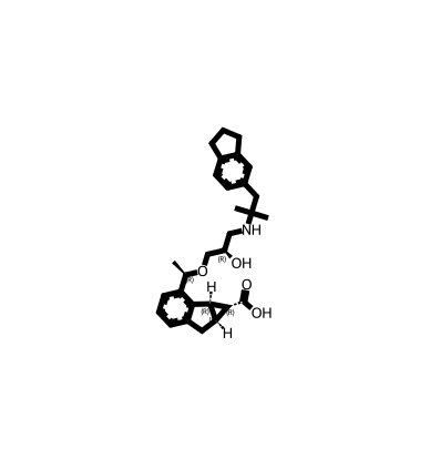 C[C@@H](OC[C@H](O)CNC(C)(C)Cc1ccc2c(c1)CCC2)c1cccc2c1[C@@H]1[C@H](C2)[C@H]1C(=O)O